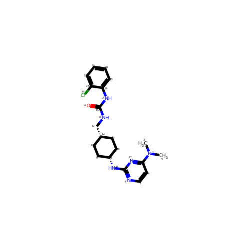 CN(C)c1ccnc(N[C@H]2CC[C@@H](CNC(=O)Nc3ccccc3Cl)CC2)n1